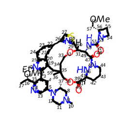 CCn1c(-c2cc(N3CCN(C)CC3)cnc2[C@H](C)OC)c2c3cc(ccc31)-c1csc(n1)[C@H]1OCCC(C)(COC(=O)[C@@H]3CCCN(N3)C(=O)[C@H]1NC(=O)N1CC[C@H]1COC)C2